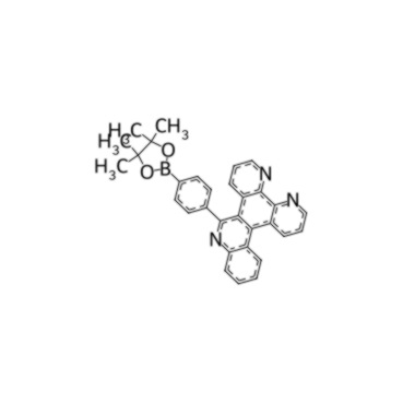 CC1(C)OB(c2ccc(-c3nc4ccccc4c4c5cccnc5c5ncccc5c34)cc2)OC1(C)C